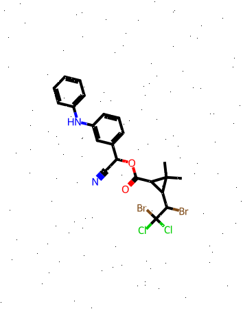 CC1(C)C(C(=O)OC(C#N)c2cccc(Nc3ccccc3)c2)C1C(Br)C(Cl)(Cl)Br